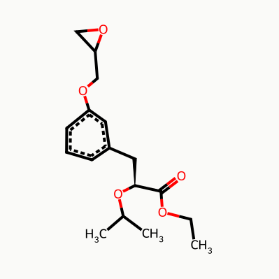 CCOC(=O)[C@H](Cc1cccc(OCC2CO2)c1)OC(C)C